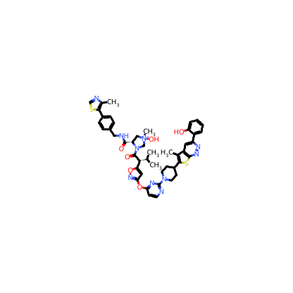 Cc1ncsc1-c1ccc(CNC(=O)[C@@H]2C[N+](C)(O)CN2C(=O)[C@@H](c2cc(Oc3ccnc(N4CCC(c5sc6nnc(-c7ccccc7O)cc6c5C)CC4)n3)no2)C(C)C)cc1